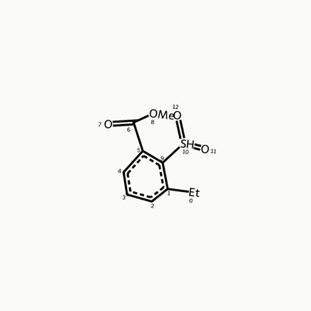 CCc1cccc(C(=O)OC)c1[SH](=O)=O